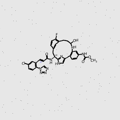 COC(=O)Nc1ccc2c(c1)NC(O)CCc1cc(ccc1F)C[C@H](NC(=O)/C=C/c1cc(Cl)ccc1-n1cnnn1)c1nc-2c[nH]1